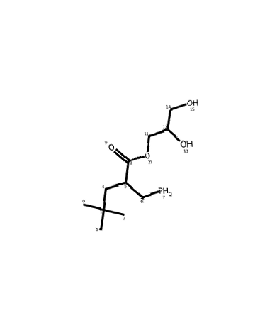 CC(C)(C)CC(CP)C(=O)OCC(O)CO